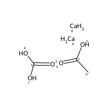 CC(=O)O.O=C(O)O.[CaH2].[CaH2]